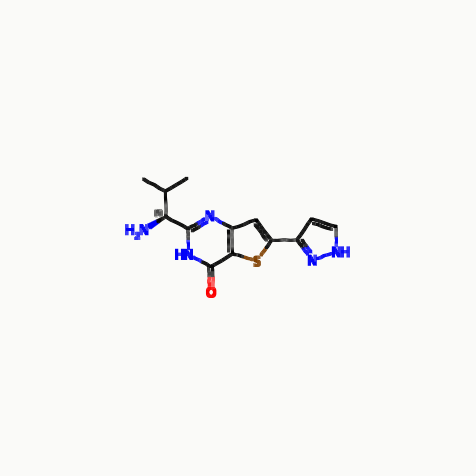 CC(C)[C@H](N)c1nc2cc(-c3cc[nH]n3)sc2c(=O)[nH]1